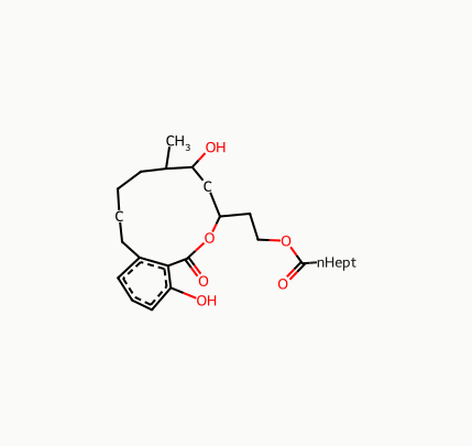 CCCCCCCC(=O)OCCC1CC(O)C(C)CCCCc2cccc(O)c2C(=O)O1